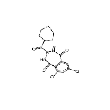 O=C1NN(C(=O)C2CCCCC2)NC(=O)c2c(Cl)cc(Cl)cc21